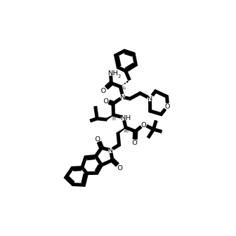 CC(C)C[C@H](N[C@H](CCN1C(=O)c2cc3ccccc3cc2C1=O)C(=O)OC(C)(C)C)C(=O)N(CCN1CCOCC1)[C@@H](Cc1ccccc1)C(N)=O